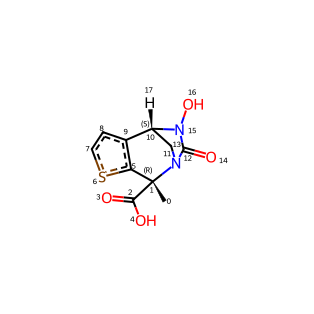 C[C@@]1(C(=O)O)c2sccc2[C@H]2CN1C(=O)N2O